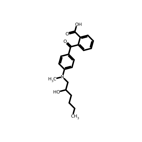 CCCCC(O)CN(C)c1ccc(C(=O)c2ccccc2C(=O)O)cc1